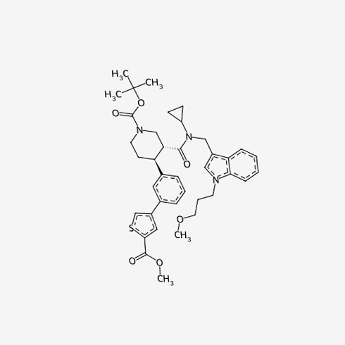 COCCCn1cc(CN(C(=O)[C@H]2CN(C(=O)OC(C)(C)C)CC[C@@H]2c2cccc(-c3csc(C(=O)OC)c3)c2)C2CC2)c2ccccc21